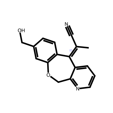 C/C(C#N)=C1/c2ccc(CO)cc2OCc2ncccc21